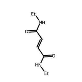 CCNC(=O)C=CC(=O)NCC